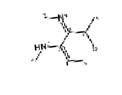 C/C=C(NC)\C(=N/C)C(C)C